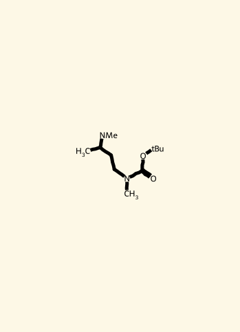 CNC(C)CCN(C)C(=O)OC(C)(C)C